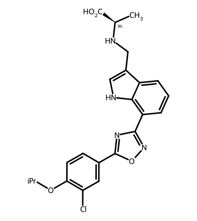 CC(C)Oc1ccc(-c2nc(-c3cccc4c(CN[C@H](C)C(=O)O)c[nH]c34)no2)cc1Cl